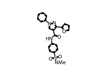 CNS(=O)(=O)c1ccc(NC(=O)c2cn(-c3ccccc3)nc2-c2ccco2)cc1